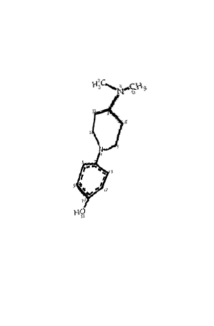 CN(C)C1CCN(c2ccc(O)cc2)CC1